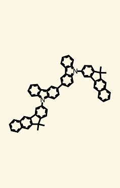 CC1(C)c2ccc(-n3c4ccccc4c4cc(-c5ccc6c(c5)c5ccccc5n6-c5ccc6c(c5)-c5cc7ccccc7cc5C6(C)C)ccc43)cc2-c2cc3ccccc3cc21